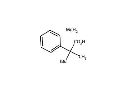 CC(C)(C)C(C)(C(=O)O)c1ccccc1.[MgH2]